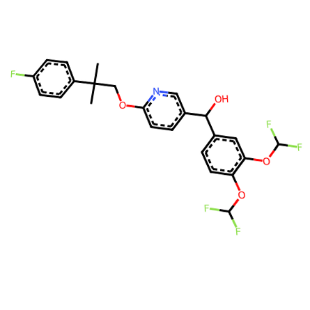 CC(C)(COc1ccc(C(O)c2ccc(OC(F)F)c(OC(F)F)c2)cn1)c1ccc(F)cc1